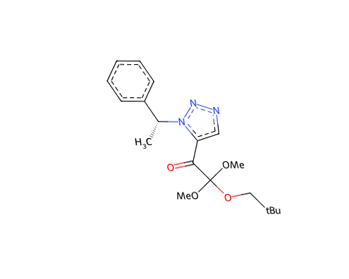 COC(OC)(OCC(C)(C)C)C(=O)c1cnnn1[C@H](C)c1ccccc1